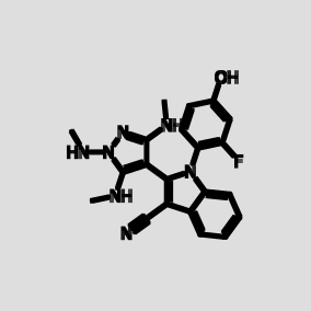 CNc1nn(NC)c(NC)c1-c1c(C#N)c2ccccc2n1-c1ccc(O)cc1F